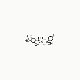 Cc1cc2c(cc1O)OCC(N1CCC(O)(c3ccc(F)cc3)CC1)[C@H]2O